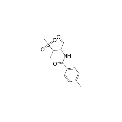 Cc1ccc(C(=O)NC(C=O)C(C)S(C)(=O)=O)cc1